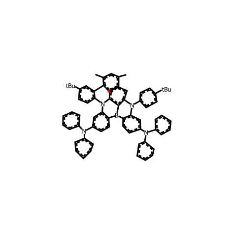 Cc1ccc(-c2cc(C(C)(C)C)ccc2N2c3cc(N(c4ccccc4)c4ccccc4)ccc3B3c4ccc(N(c5ccccc5)c5ccccc5)cc4N(c4ccc(C(C)(C)C)cc4)c4cccc2c43)c(C)c1